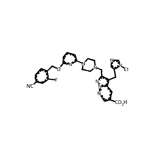 CCn1cncc1Cc1c(CN2CCN(c3cccc(OCc4ccc(C#N)cc4F)n3)CC2)nn2ncc(C(=O)O)cc12